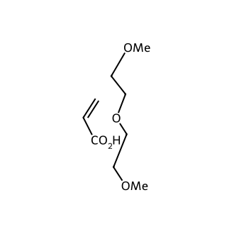 C=CC(=O)O.COCCOCCOC